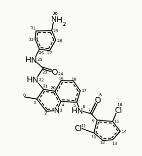 Cc1cnc2c(NC(=O)c3c(Cl)cccc3Cl)cccc2c1NC(=O)Nc1ccc(N)cc1